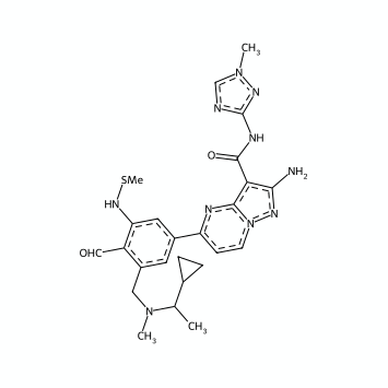 CSNc1cc(-c2ccn3nc(N)c(C(=O)Nc4ncn(C)n4)c3n2)cc(CN(C)C(C)C2CC2)c1C=O